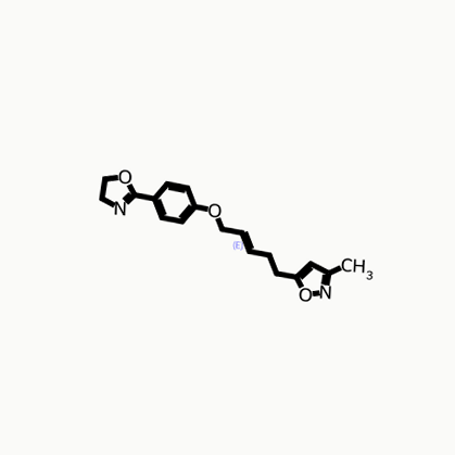 Cc1cc(CC/C=C/COc2ccc(C3=NCCO3)cc2)on1